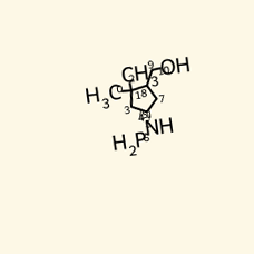 CC1(C)C[C@@H](NP)CC1CO